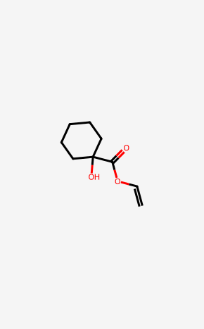 C=COC(=O)C1(O)CCCCC1